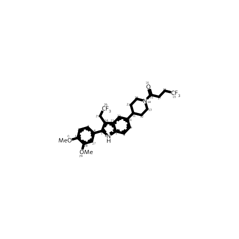 COc1ccc(-c2[nH]c3ccc(C4CCN(C(=O)CCC(F)(F)F)CC4)cc3c2CC(F)(F)F)cc1OC